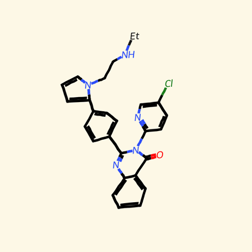 CCNCCn1cccc1-c1ccc(-c2nc3ccccc3c(=O)n2-c2ccc(Cl)cn2)cc1